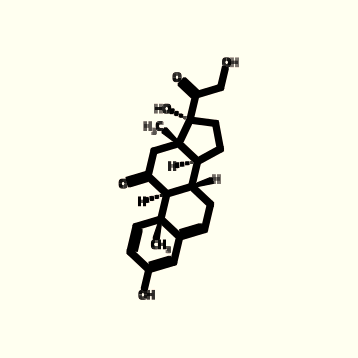 C[C@]12C=CC(O)=CC1=CC[C@@H]1[C@@H]2C(=O)C[C@@]2(C)[C@H]1CC[C@]2(O)C(=O)CO